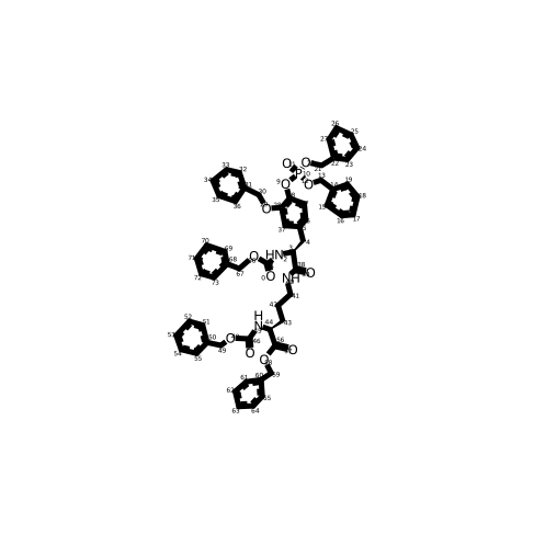 O=C(N[C@@H](Cc1ccc(OP(=O)(OCc2ccccc2)OCc2ccccc2)c(OCc2ccccc2)c1)C(=O)NCCC[C@H](NC(=O)OCc1ccccc1)C(=O)OCc1ccccc1)OCc1ccccc1